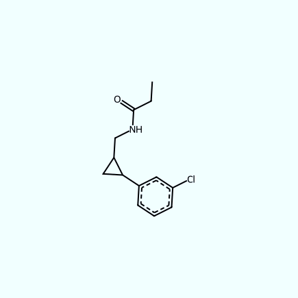 CCC(=O)NCC1CC1c1cccc(Cl)c1